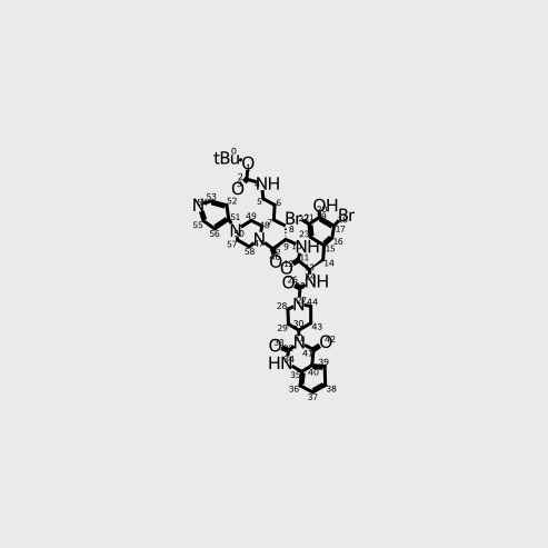 CC(C)(C)OC(=O)NCCCC[C@H](NC(=O)[C@@H](Cc1cc(Br)c(O)c(Br)c1)NC(=O)N1CCC(n2c(=O)[nH]c3ccccc3c2=O)CC1)C(=O)N1CCN(c2ccncc2)CC1